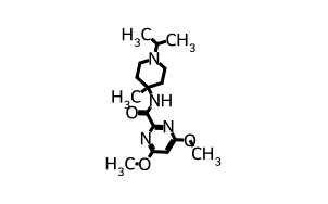 COc1cc(OC)nc(C(=O)NC2(C)CCN(C(C)C)CC2)n1